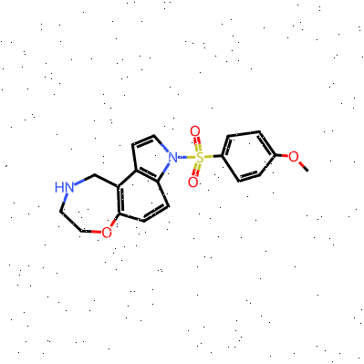 COc1ccc(S(=O)(=O)n2ccc3c4c(ccc32)OCCNC4)cc1